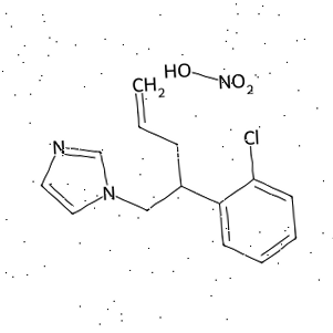 C=CCC(Cn1ccnc1)c1ccccc1Cl.O=[N+]([O-])O